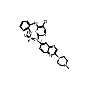 CN1CCN(c2cnc3cc(Nc4ncc(Cl)c(Nc5ccccc5NS(C)(=O)=O)n4)ccc3n2)CC1